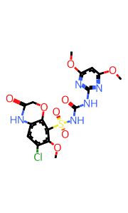 COc1cc(OC)nc(NC(=O)NS(=O)(=O)c2c(OC)c(Cl)cc3c2OCC(=O)N3)n1